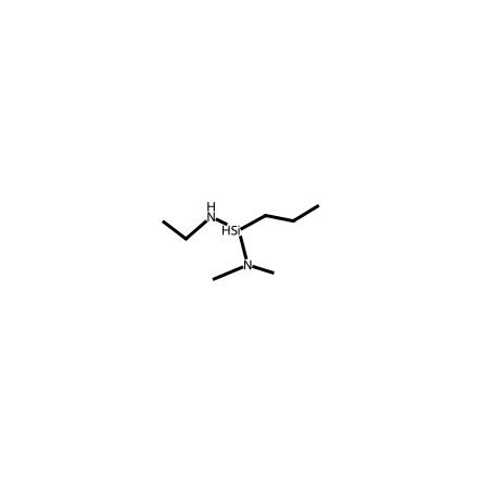 CCC[SiH](NCC)N(C)C